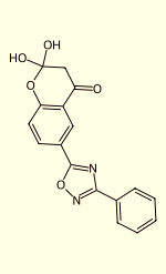 O=C1CC(O)(O)Oc2ccc(-c3nc(-c4ccccc4)no3)cc21